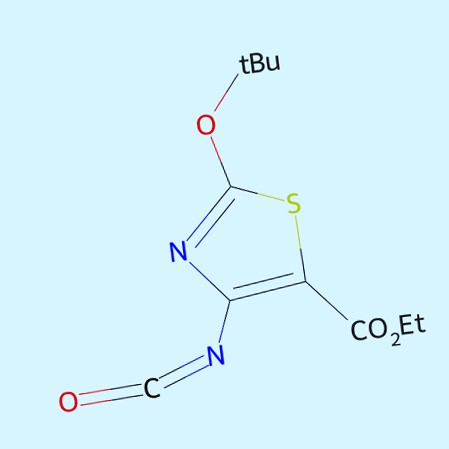 CCOC(=O)c1sc(OC(C)(C)C)nc1N=C=O